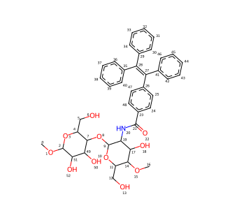 COC1OC(CO)C(OC2OC(CO)C(OC)C(O)C2NC(=O)c2ccc(C(=C(c3ccccc3)c3ccccc3)c3ccccc3)cc2)C(O)C1O